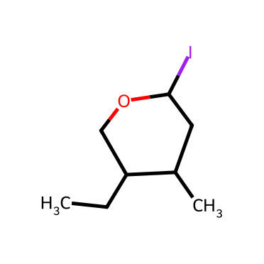 CCC1COC(I)CC1C